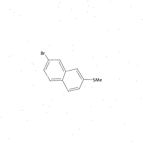 CSc1ccc2ccc(Br)cc2c1